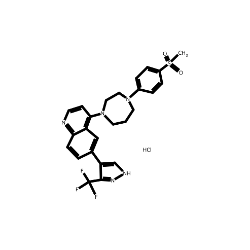 CS(=O)(=O)c1ccc(N2CCCN(c3ccnc4ccc(-c5c[nH]nc5C(F)(F)F)cc34)CC2)cc1.Cl